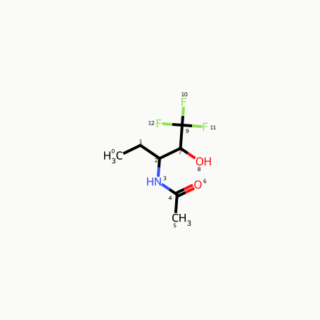 CCC(NC(C)=O)C(O)C(F)(F)F